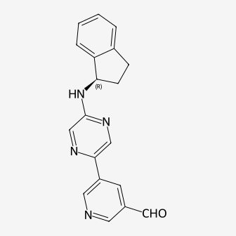 O=Cc1cncc(-c2cnc(N[C@@H]3CCc4ccccc43)cn2)c1